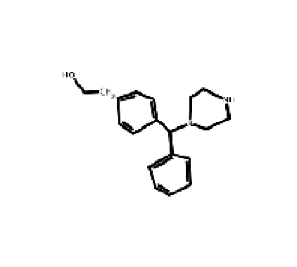 CCO.c1ccc(C(c2ccccc2)N2CCNCC2)cc1